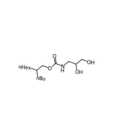 CCCCCCC(CCCC)COC(=O)NCC(O)CO